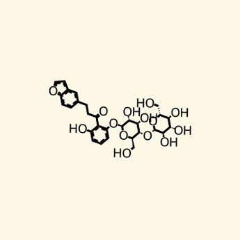 O=C(CCc1ccc2occc2c1)c1c(O)cccc1O[C@@H]1O[C@H](CO)[C@@H](O[C@@H]2O[C@H](CO)[C@@H](O)[C@H](O)[C@H]2O)[C@H](O)[C@H]1O